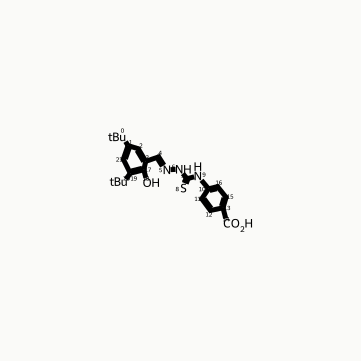 CC(C)(C)c1cc(C=NNC(=S)Nc2ccc(C(=O)O)cc2)c(O)c(C(C)(C)C)c1